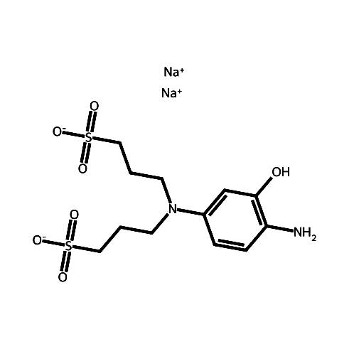 Nc1ccc(N(CCCS(=O)(=O)[O-])CCCS(=O)(=O)[O-])cc1O.[Na+].[Na+]